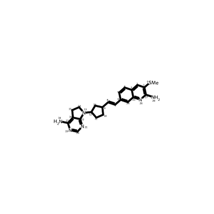 CSc1cc2ccc(/C=C/C3CCC(N4CCc5c(N)ncnc54)C3)cc2nc1N